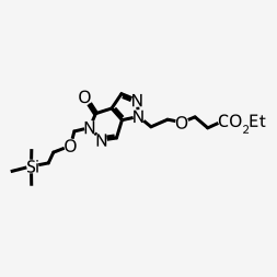 CCOC(=O)CCOCCn1ncc2c(=O)n(COCC[Si](C)(C)C)ncc21